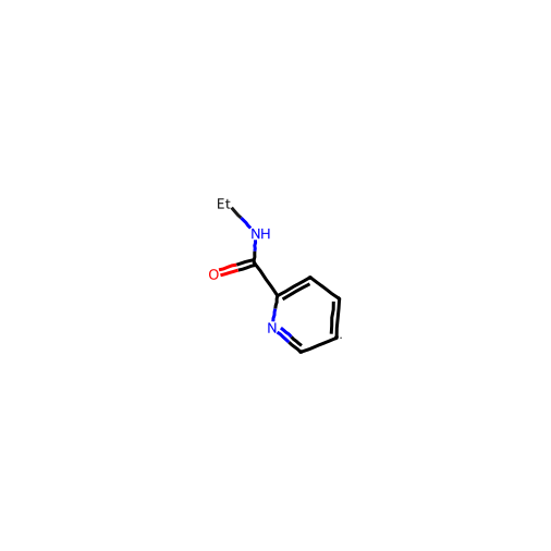 CCNC(=O)c1cc[c]cn1